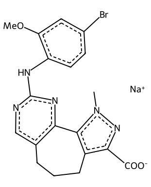 COc1cc(Br)ccc1Nc1ncc2c(n1)-c1c(c(C(=O)[O-])nn1C)CCC2.[Na+]